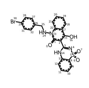 O=c1c(C2=NS(=O)(=O)c3ccccc3N2)c(O)c2ccccc2n1NCc1ccc(Br)cc1